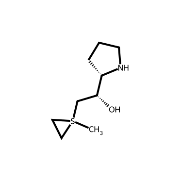 CS1(C[C@@H](O)[C@@H]2CCCN2)CC1